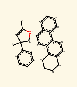 CC1=CC(C)(c2ccccc2)CO1.c1ccc2c(c1)ccc1c3c(ccc12)CCCC3